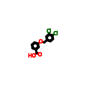 O=C(O)c1cccc(OCc2ccc(Cl)c(Cl)c2)c1